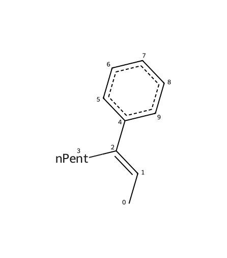 CC=C(CCCCC)c1ccccc1